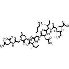 CC[C@H](C)[C@H](NC(=O)[C@H](CCCCN)NC(=O)[C@H](CC(N)=O)NC(=O)[C@@H](NC(=O)[C@H](CCC(=O)O)NC(=O)[C@H](C)N)[C@@H](C)CC)C(=O)N[C@@H](CC(C)C)C(=O)NCC(=O)N[C@@H](CC(N)=O)C(=O)O